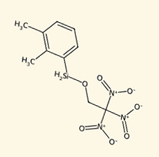 Cc1cccc([SiH2]OCC([N+](=O)[O-])([N+](=O)[O-])[N+](=O)[O-])c1C